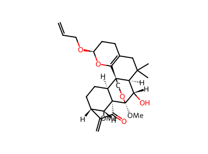 C=CCO[C@H]1CCC2=C(O1)[C@]13CO[C@@](OC)([C@@H](O)[C@@H]1C(C)(C)C2)[C@]12C(=O)C(=C)[C@H](CC[C@@H]31)[C@H]2OC